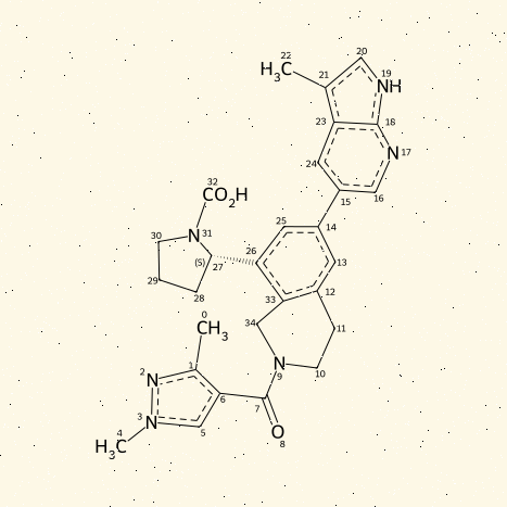 Cc1nn(C)cc1C(=O)N1CCc2cc(-c3cnc4[nH]cc(C)c4c3)cc([C@@H]3CCCN3C(=O)O)c2C1